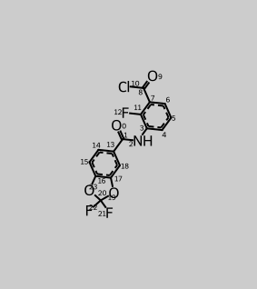 O=C(Nc1cccc(C(=O)Cl)c1F)c1ccc2c(c1)OC(F)(F)O2